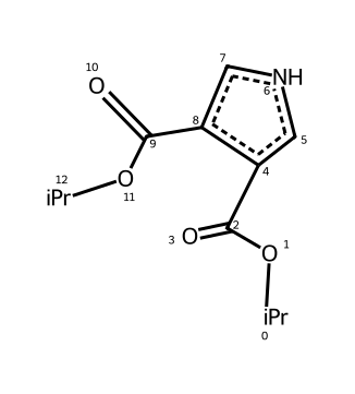 CC(C)OC(=O)c1c[nH]cc1C(=O)OC(C)C